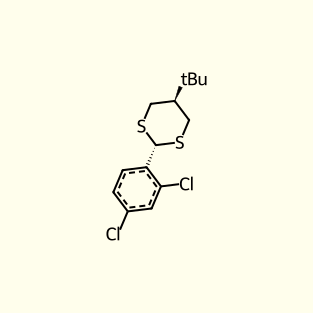 CC(C)(C)[C@H]1CS[C@H](c2ccc(Cl)cc2Cl)SC1